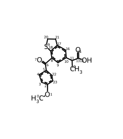 COc1ccc(C(=O)c2cc(C(C)C(=O)O)cc3c2SCC3)cc1